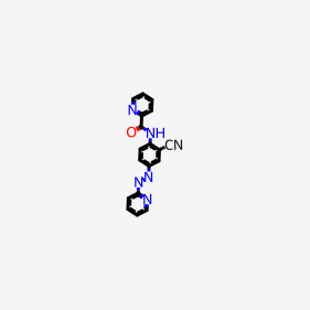 N#Cc1cc(N=Nc2ccccn2)ccc1NC(=O)c1ccccn1